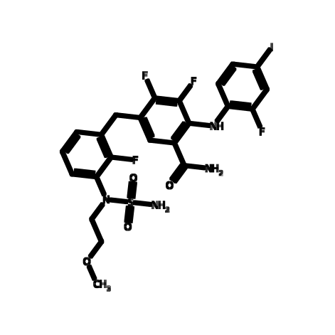 COCCN(c1cccc(Cc2cc(C(N)=O)c(Nc3ccc(I)cc3F)c(F)c2F)c1F)S(N)(=O)=O